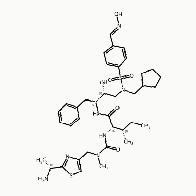 CC[C@H](C)[C@H](NC(=O)N(C)Cc1csc([C@@H](C)N)n1)C(=O)N[C@@H](Cc1ccccc1)[C@H](O)CN(CC1CCCC1)S(=O)(=O)c1ccc(C=NO)cc1